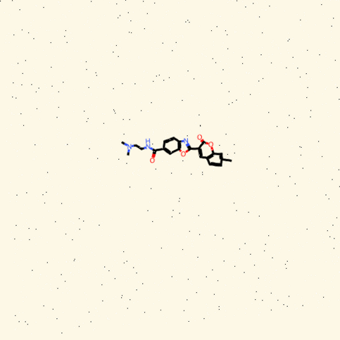 Cc1ccc2cc(-c3nc4ccc(C(=O)NCCN(C)C)cc4o3)c(=O)oc2c1